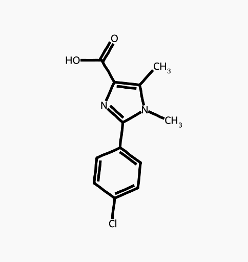 Cc1c(C(=O)O)nc(-c2ccc(Cl)cc2)n1C